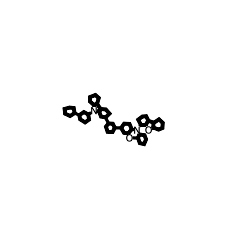 c1ccc(-c2cccc(-n3c4ccccc4c4ccc(-c5cccc(-c6ccc7c(c6)Oc6ccccc6N7c6cccc7c6oc6ccccc67)c5)cc43)c2)cc1